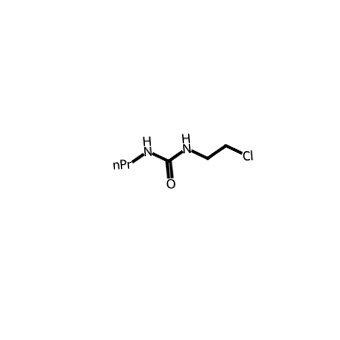 CCCNC(=O)NCCCl